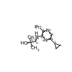 CC(C)c1ncc(C2CC2)nc1NCC(C)(C)O